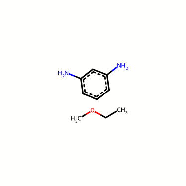 CCOC.Nc1cccc(N)c1